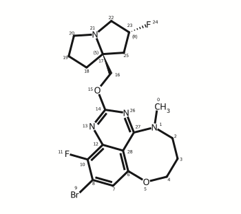 CN1CCCOc2cc(Br)c(F)c3nc(OC[C@@]45CCCN4C[C@H](F)C5)nc1c23